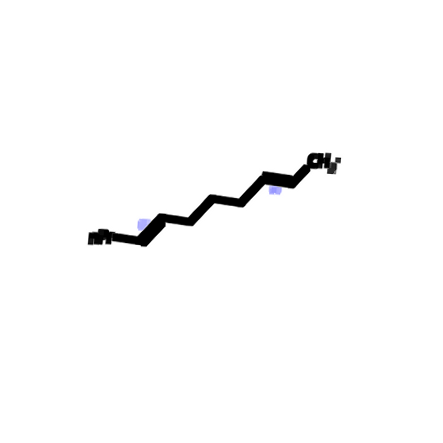 [CH2]/C=C/CCC/C=C/CCC